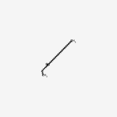 CCCC/C=C\CCCCCCCC(=O)OCCCCCCCCCCCCCCCCCCCCCCCCCCCCCCCCCCC